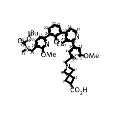 COc1cc(CN2CC3(CC(C(=O)O)C3)C2)cc(-c2nccc(-c3cccc(-c4ccc(CN(C)C(=O)OC(C)(C)C)c(OC)n4)c3Cl)c2Cl)c1